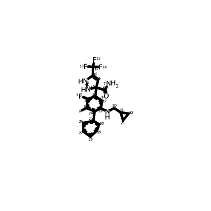 Cc1c(F)c(C2(C(N)=O)C=C(C(F)(F)F)NN2)cc(NCC2CC2)c1-c1ccccc1